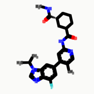 CNC(=O)[C@@H]1CCCC(C(=O)Nc2cc(-c3cc(F)c4ncn(C(C)C)c4c3)c(C)cn2)C1